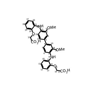 COc1cc(-c2ccc(Nc3ccccc3OCC(=O)O)c(OC)c2)ccc1Nc1ccccc1OCC(=O)O